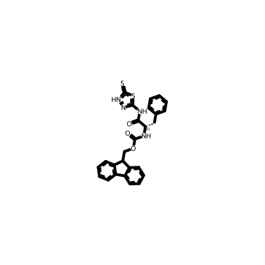 O=C(N[C@@H](Cc1ccccc1)C(=O)Nc1n[nH]c(=S)s1)OCC1c2ccccc2-c2ccccc21